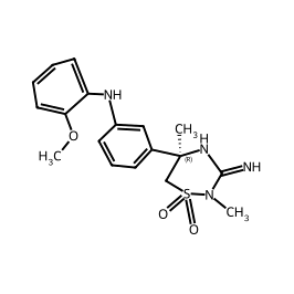 COc1ccccc1Nc1cccc([C@]2(C)CS(=O)(=O)N(C)C(=N)N2)c1